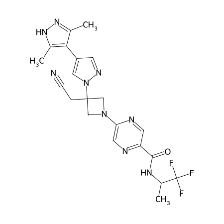 Cc1n[nH]c(C)c1-c1cnn(C2(CC#N)CN(c3cnc(C(=O)NC(C)C(F)(F)F)cn3)C2)c1